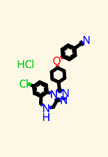 Cl.N#Cc1ccc(OC2CCC(c3nnc4n3-c3ccc(Cl)cc3CNC4)CC2)cc1